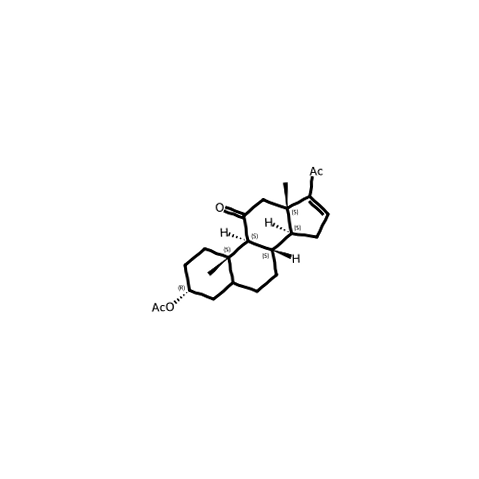 CC(=O)O[C@@H]1CC[C@@]2(C)C(CC[C@@H]3[C@@H]2C(=O)C[C@]2(C)C(C(C)=O)=CC[C@@H]32)C1